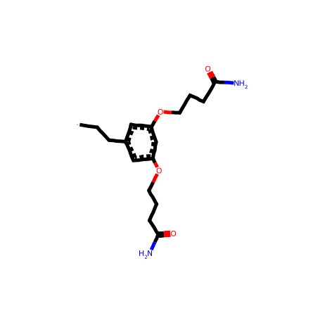 [CH2]CCc1cc(OCCCC(N)=O)cc(OCCCC(N)=O)c1